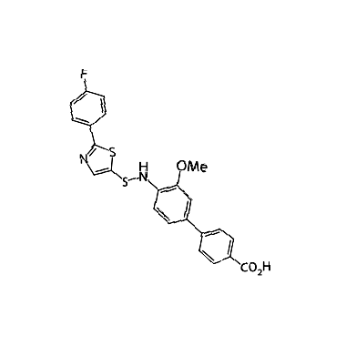 COc1cc(-c2ccc(C(=O)O)cc2)ccc1NSc1cnc(-c2ccc(F)cc2)s1